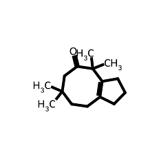 CC1(C)CCC2=C(CCC2)C(C)(C)C(=O)C1